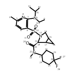 CCN(c1nc(C)ccc1S(=O)(=O)N1CC2CC2[C@H]1C(=O)N(C)C1CCC(F)(F)CC1)C(C)C